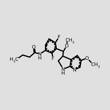 CCCC(=O)Nc1ccc(F)c(C(OC)C2CNc3ncc(OC)cc32)c1F